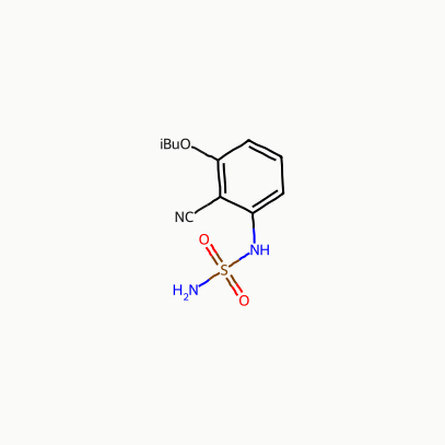 CC(C)COc1cccc(NS(N)(=O)=O)c1C#N